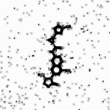 C[C@H]1COC(=O)N1c1cc(N)c2nnc(NC(=O)[C@@H]3C[C@H]3c3cnn(C)c3)cc2c1